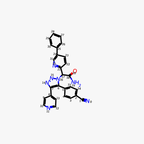 N#Cc1ccc(-c2c(-c3ccncc3)nnn2C(C(N)=O)c2ccc(-c3ccccc3)cn2)cc1